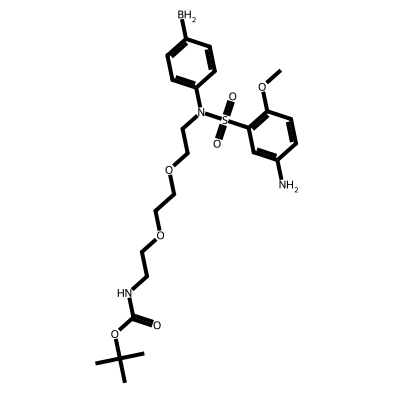 Bc1ccc(N(CCOCCOCCNC(=O)OC(C)(C)C)S(=O)(=O)c2cc(N)ccc2OC)cc1